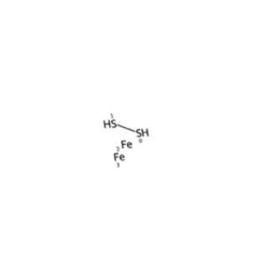 SS.[Fe].[Fe]